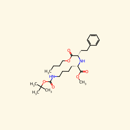 CCCCOC(=O)[C@H](CCc1ccccc1)N[C@@H](CCCCNC(=O)OC(C)(C)C)C(=O)OC